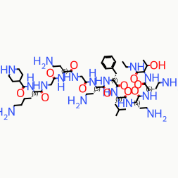 CCNC(=O)C(NC(=O)[C@H](CCN)NC(=O)[C@H](CCN)NC(=O)[C@H](CC(C)C)NC(=O)[C@@H](Cc1ccccc1)NC(=O)[C@H](CCN)NC(=O)CNC(=O)[C@H](CCN)NC(=O)CNC(=O)[C@H](CCCCN)NC(=O)C1CCNCC1)C(C)O